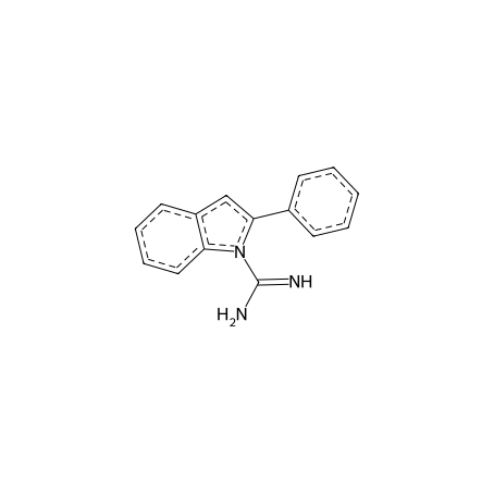 N=C(N)n1c(-c2ccccc2)cc2ccccc21